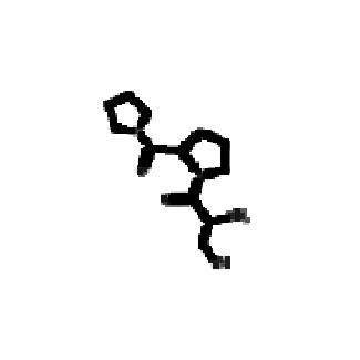 NC(CO)C(=O)N1CCCC1C(=O)N1CCCC1